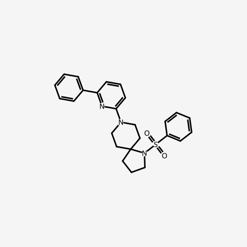 O=S(=O)(c1ccccc1)N1CCCC12CCN(c1cccc(-c3ccccc3)n1)CC2